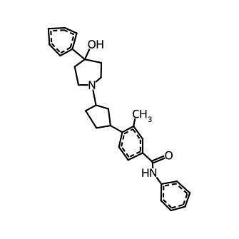 Cc1cc(C(=O)Nc2ccccc2)ccc1C1CCC(N2CCC(O)(c3ccccc3)CC2)C1